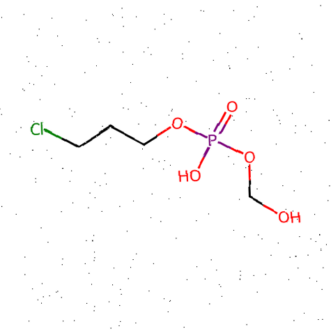 O=P(O)(OCO)OCCCCl